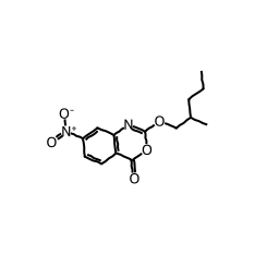 CCCC(C)COc1nc2cc([N+](=O)[O-])ccc2c(=O)o1